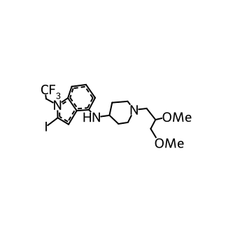 COCC(CN1CCC(Nc2cccc3c2cc(I)n3CC(F)(F)F)CC1)OC